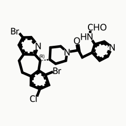 O=CNc1cnccc1CC(=O)N1CCC([C@H]2c3ncc(Br)cc3CCc3cc(Cl)cc(Br)c32)CC1